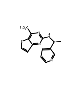 CCOC(=O)c1nc(N[C@@H](C)c2cccnc2)nc2ccsc12